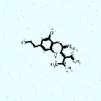 C=C(Cl)/C(=C\C(=N/N)Sc1c(Cl)cc(CCO)cc1Cl)C(C)C